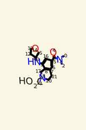 CN(C)C(=O)c1cc2c(c(N[C@@H]3CCOC3)c1)CN(C(=O)O)CC2